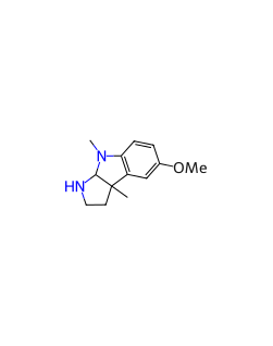 COc1ccc2c(c1)C1(C)CCNC1N2C